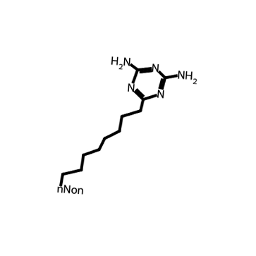 CCCCCCCCCCCCCCCCCc1nc(N)nc(N)n1